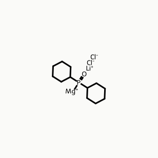 O=[P]([Mg+])(C1CCCCC1)C1CCCCC1.[Cl-].[Cl-].[Li+]